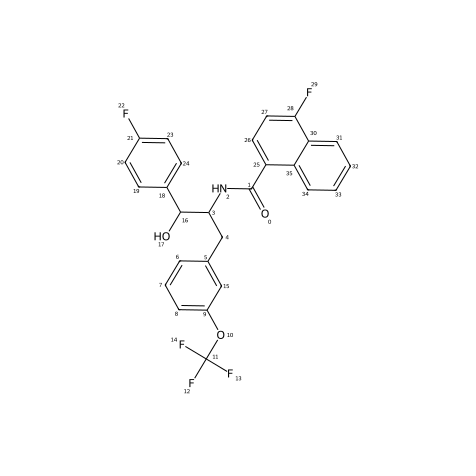 O=C(NC(Cc1cccc(OC(F)(F)F)c1)C(O)c1ccc(F)cc1)c1ccc(F)c2ccccc12